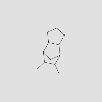 CC1C(C)C2CC1C1CCSC21